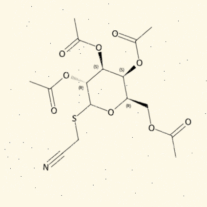 CC(=O)OC[C@H]1OC(SCC#N)[C@H](OC(C)=O)[C@@H](OC(C)=O)[C@H]1OC(C)=O